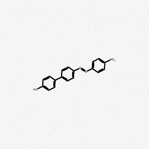 O=[N+]([O-])c1ccc(N=Nc2ccc(-c3ccc(O)cc3)cc2)cc1